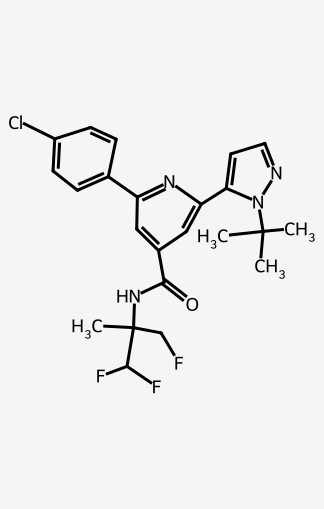 CC(CF)(NC(=O)c1cc(-c2ccc(Cl)cc2)nc(-c2ccnn2C(C)(C)C)c1)C(F)F